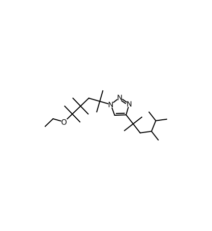 CCOC(C)(C)C(C)(C)CC(C)(C)n1cc(C(C)(C)CC(C)C(C)C)nn1